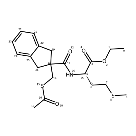 CCOC(=O)[C@H](CCSC)NC(=O)C1(CSC(C)=O)Cc2ccccc2C1